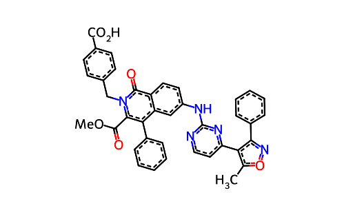 COC(=O)c1c(-c2ccccc2)c2cc(Nc3nccc(-c4c(-c5ccccc5)noc4C)n3)ccc2c(=O)n1Cc1ccc(C(=O)O)cc1